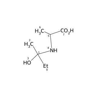 CCC(C)(O)NC(C)C(=O)O